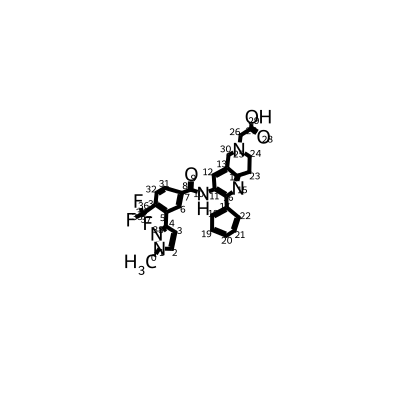 Cn1ccc(-c2cc(C(=O)Nc3cc4c(nc3-c3ccccc3)CCN(CC(=O)O)C4)ccc2C(F)(F)F)n1